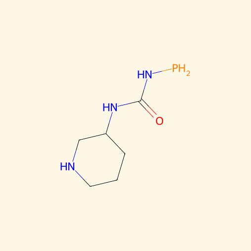 O=C(NP)NC1CCCNC1